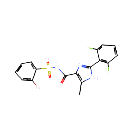 Cc1[nH]c(-c2c(F)cccc2F)nc1C(=O)NS(=O)(=O)c1ccccc1Br